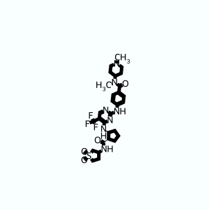 CN1CCC(N(C)C(=O)c2ccc(Nc3ncc(C(F)(F)F)c(N[C@@H]4CCC[C@@H]4C(=O)NC4CCS(=O)(=O)C4)n3)cc2)CC1